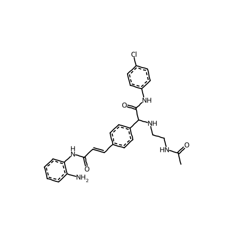 CC(=O)NCCNC(C(=O)Nc1ccc(Cl)cc1)c1ccc(C=CC(=O)Nc2ccccc2N)cc1